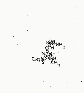 [C-]#[N+]c1c(NCCC)nc(SCc2csc(-c3ccc(Cl)cc3)n2)c(C#N)c1-c1ccc(OCCOC(=O)[C@H](C)NC(=O)CCN)cc1